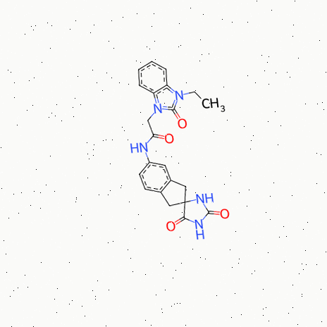 CCn1c(=O)n(CC(=O)Nc2ccc3c(c2)CC2(C3)NC(=O)NC2=O)c2ccccc21